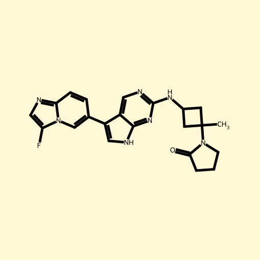 CC1(N2CCCC2=O)CC(Nc2ncc3c(-c4ccc5ncc(F)n5c4)c[nH]c3n2)C1